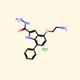 Cl.NCCOc1ccc(-c2ccccc2)c2[nH]c(C(=O)NN)cc12